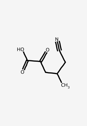 CC(CC#N)CC(=O)C(=O)O